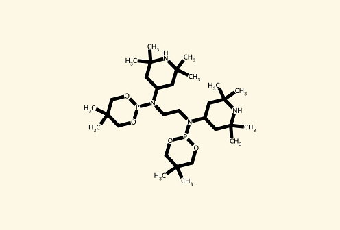 CC1(C)COP(N(CCN(C2CC(C)(C)NC(C)(C)C2)P2OCC(C)(C)CO2)C2CC(C)(C)NC(C)(C)C2)OC1